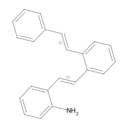 Nc1ccccc1/C=C/c1ccccc1/C=C/c1ccccc1